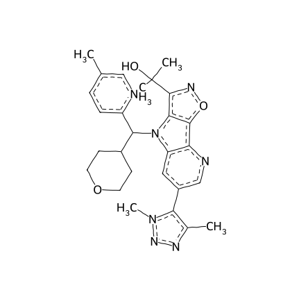 Cc1ccc(C(C2CCOCC2)n2c3cc(-c4c(C)nnn4C)cnc3c3onc(C(C)(C)O)c32)nc1